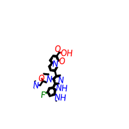 CNc1cc(F)cc2c1[nH]c1ncc(-c3ccc4ccc(C(=O)O)c(=O)n4c3)c(N3CCOC(CN(C)C)C3)c12